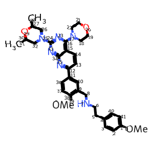 COc1ccc(CCNCc2cc(-c3ccc4c(N5CCOCC5)nc(N5CC(C)OC(C)C5)nc4n3)ccc2OC)cc1